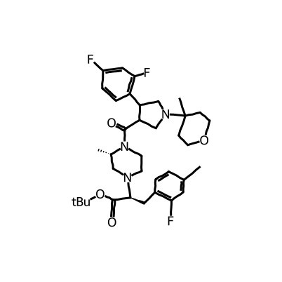 Cc1ccc(C[C@@H](C(=O)OC(C)(C)C)N2CCN(C(=O)C3CN(C4(C)CCOCC4)CC3c3ccc(F)cc3F)[C@@H](C)C2)c(F)c1